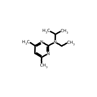 CCN(c1nc(C)cc(C)n1)C(C)C